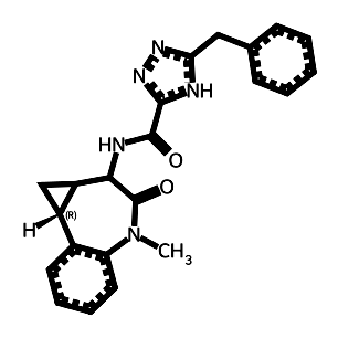 CN1C(=O)C(NC(=O)c2nnc(Cc3ccccc3)[nH]2)C2C[C@H]2c2ccccc21